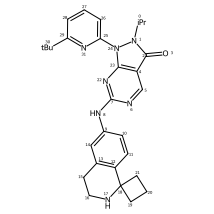 CC(C)n1c(=O)c2cnc(Nc3ccc4c(c3)CCNC43CCC3)nc2n1-c1cccc(C(C)(C)C)n1